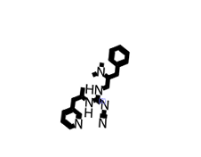 CC(Cc1cccnc1)N/C(=N\C#N)NCC(Cc1ccccc1)N(C)C